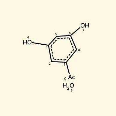 CC(=O)c1cc(O)cc(O)c1.O